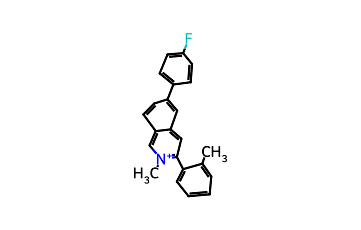 Cc1ccccc1-c1cc2cc(-c3ccc(F)cc3)ccc2c[n+]1C